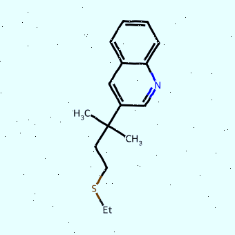 CCSCCC(C)(C)c1cnc2ccccc2c1